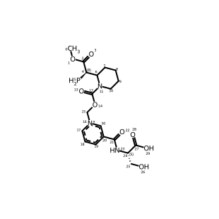 COC(=O)[C@H](P)C1CCCCN1C(=O)OC[n+]1cccc(C(=O)N[C@@H](CO)C(=O)O)c1